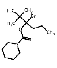 CCCC(Br)(OC(=O)N1CCCCC1)C(C)(C)C